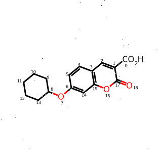 O=C(O)c1cc2ccc(OC3CCCCC3)cc2oc1=O